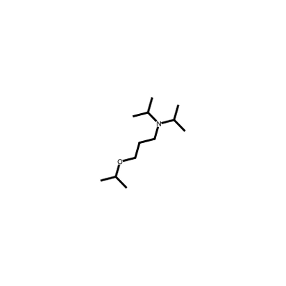 CC(C)OCCCN(C(C)C)C(C)C